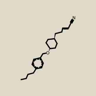 CCCCc1ccc(CO[C@H]2CC[C@H](CCC=CC#N)CC2)cc1